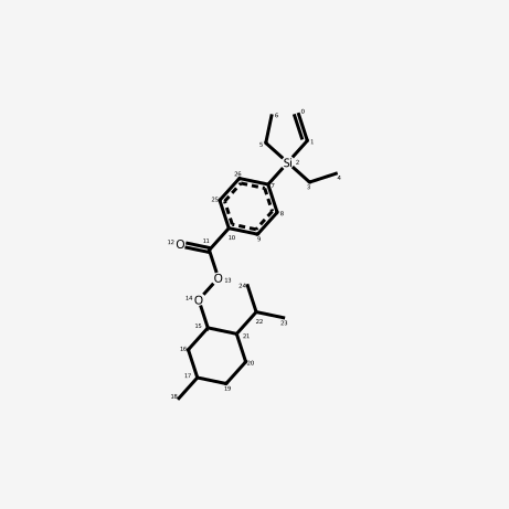 C=C[Si](CC)(CC)c1ccc(C(=O)OO[C]2CC(C)CCC2C(C)C)cc1